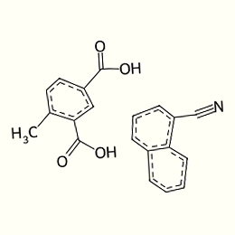 Cc1ccc(C(=O)O)cc1C(=O)O.N#Cc1cccc2ccccc12